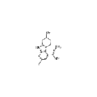 C=C=C(CCC)c1cc(F)cc2[nH]c3c(c12)CCC(C(C)C)C3